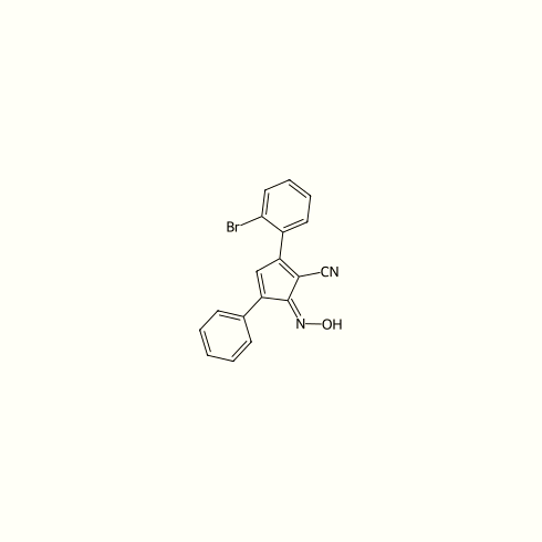 N#CC1=C(c2ccccc2Br)C=C(c2ccccc2)C1=NO